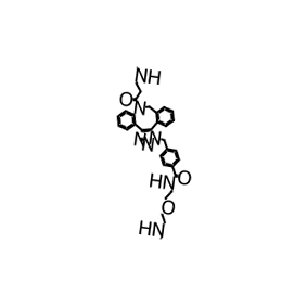 CNCCOCCNC(=O)c1ccc(Cn2nnc3c2-c2ccccc2CN(C(=O)CCNC)c2ccccc2-3)cc1